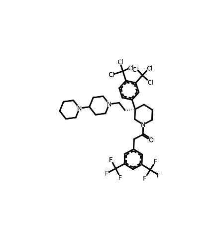 O=C(Cc1cc(C(F)(F)F)cc(C(F)(F)F)c1)N1CCC[C@](CCN2CCC(N3CCCCC3)CC2)(c2ccc(C(Cl)(Cl)Cl)c(C(Cl)(Cl)Cl)c2)C1